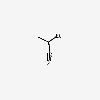 CCC(C)C#P